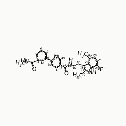 CNC(=O)c1cccc(-c2ccc(C(=O)NCCc3c(C)[nH]c4c(F)ccc(C)c34)cn2)c1